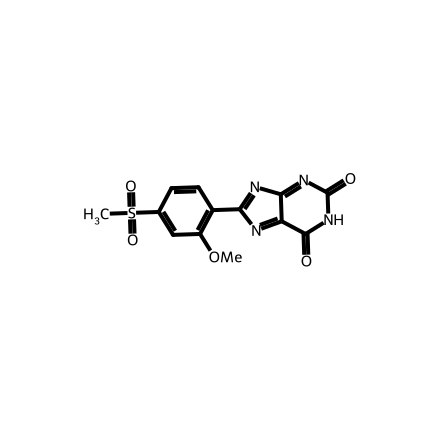 COc1cc(S(C)(=O)=O)ccc1C1=NC2=NC(=O)NC(=O)C2=N1